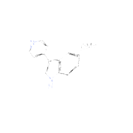 COc1ccc2[nH]cc(-c3ccncc3)c2c1